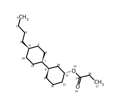 CCCC[C@H]1CC[C@@H]([C@@H]2CCC[C@@H](OC(=O)CC)C2)CC1